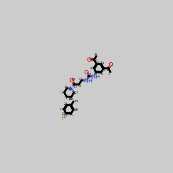 CC(=O)c1cc(NC(=O)NCCC(=O)N2CCC[C@@H](Cc3ccc(F)cc3)C2)cc(C(C)=O)c1